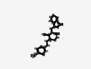 O=C1[C@@H](Cc2c[nH]c3ccccc23)NCCN1CCc1ccc(C(F)(F)F)cc1